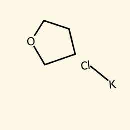 C1CCOC1.[Cl][K]